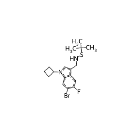 CC(C)(C)SNCc1cn(C2CCC2)c2cc(Br)c(F)cc12